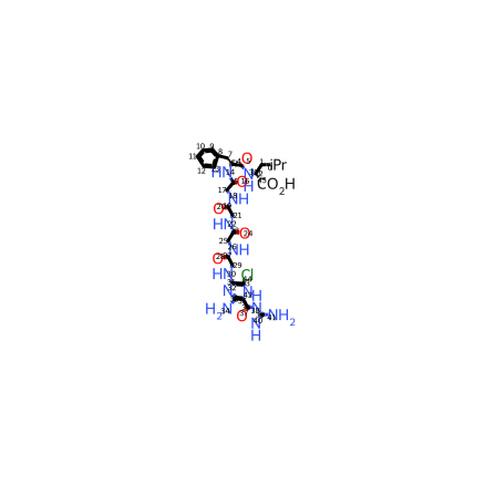 CC(C)C[C@H](NC(=O)[C@H](Cc1ccccc1)NC(=O)CNC(=O)CNC(=O)CNC(=O)CNc1nc(N)c(C(=O)NC(=N)N)nc1Cl)C(=O)O